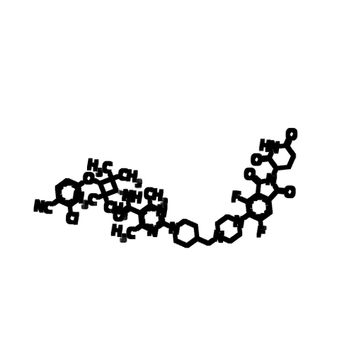 Cc1nc(N2CCC(CN3CCN(c4c(F)cc5c(c4F)C(=O)N(C4CCC(=O)NC4=O)C5=O)CC3)CC2)nc(C)c1C(=O)N[C@H]1C(C)(C)[C@H](Oc2ccc(C#N)c(Cl)c2)C1(C)C